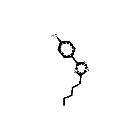 CCCCCc1nnc(-c2ccc(O)cc2)s1